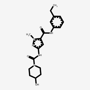 CCc1cccc(NC(=O)c2cc(NC(=O)N3CCC(O)CC3)nn2C)c1